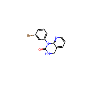 O=C1NCc2cccnc2N1c1cccc(Br)c1